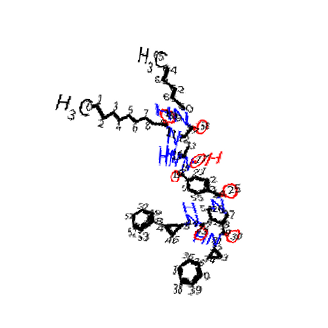 CCCCCCCCCC(=O)N[C@@H](CC(=N)N(O)C(=O)c1ccc(C(=O)N2C[C@@H](C(=O)N[C@H]3C[C@@H]3c3ccccc3)[C@H](C(=O)N[C@H]3C[C@@H]3c3ccccc3)C2)cc1)C(=O)NCCCCCC